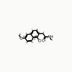 CNC(=O)Cc1ccc2cc(OC)ccc2c1Cl